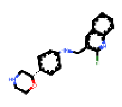 Clc1nc2ccccc2cc1CNc1ccc([C@H]2CNCCO2)cc1